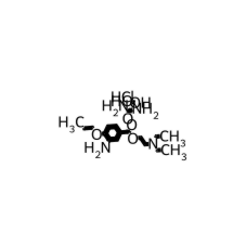 CCCOc1ccc(C(=O)OCCN(CC)CC)cc1N.Cl.NC(N)=O.OO